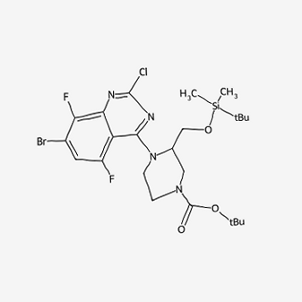 CC(C)(C)OC(=O)N1CCN(c2nc(Cl)nc3c(F)c(Br)cc(F)c23)C(CO[Si](C)(C)C(C)(C)C)C1